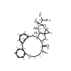 CN1CCOc2ccccc2-c2cccc(c2)C[C@H]2[C@@H](NS(=O)(=O)C(F)F)C3(CC3)CN2C1=O